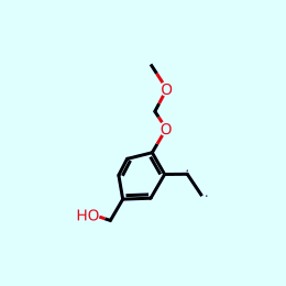 [CH2][CH]c1cc(CO)ccc1OCOC